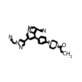 C=CC(=O)N1CCN(c2ccc(-c3cc(-c4cnn(CC#N)c4)cn4ncc(C#N)c34)cc2)CC1